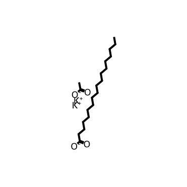 CC(=O)[O-].CCCCCCCCCCCCCCCCCC(=O)[O-].[K+].[K+]